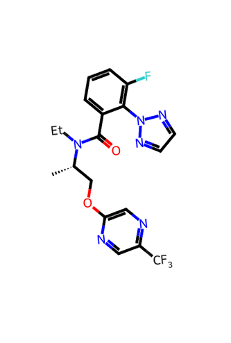 CCN(C(=O)c1cccc(F)c1-n1nccn1)[C@@H](C)COc1cnc(C(F)(F)F)cn1